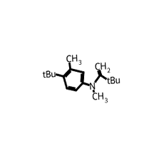 C=C(N(C)c1ccc(C(C)(C)C)c(C)c1)C(C)(C)C